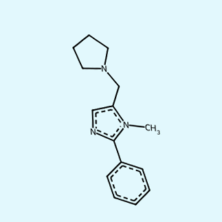 Cn1c(CN2CCCC2)cnc1-c1ccccc1